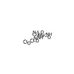 Cc1cc(Oc2ccccc2)ccc1N1C(=O)Nc2c(C(=O)N[C@H]3CNC(=O)C3)sc3nccc1c23